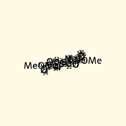 COCCN(CC1CCCO1)C(=O)c1ccnc2c(SSc3cccc4c(C(=O)N(CCOC)CC5CCCO5)ccnc34)cccc12